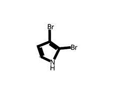 Brc1c[c][nH]c1Br